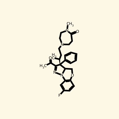 CC(=O)C1=NN2c3cc(F)ccc3OCC2[C@]1(c1ccccc1)C(C)CCN1CCC(=O)N(C)CC1